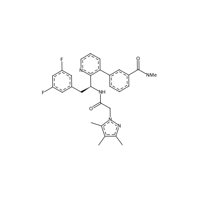 CNC(=O)c1cccc(-c2cccnc2[C@H](Cc2cc(F)cc(F)c2)NC(=O)Cn2nc(C)c(C)c2C)c1